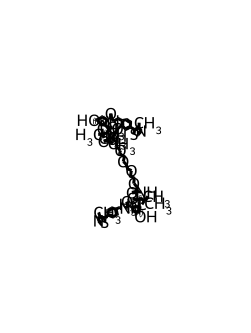 CC(=O)N[C@H](C(=O)N1C[C@H](O)C[C@H]1C(=O)NCc1ccc(-c2scnc2C)cc1OCCOCCOCCOCCOCCOCC(=O)N[C@H](C(=O)N1C[C@H](O)C[C@H]1C(=O)NCc1ccc(-c2scnc2C)cc1)C(C)(C)C)C(C)(C)C